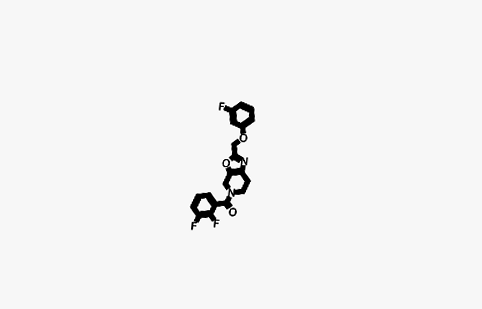 O=C(c1cccc(F)c1F)N1CCc2nc(COc3cccc(F)c3)oc2C1